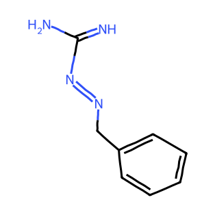 N=C(N)N=NCc1ccccc1